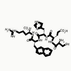 N=C(N)NCCC[C@H](NC(=O)[C@@H](Cc1ccc2ccccc2c1)NC(=O)[C@H](Cc1c[nH]cn1)NC(=O)[C@H](CCC(=O)O)NC(=O)[C@@H](N)CS)C(=O)O